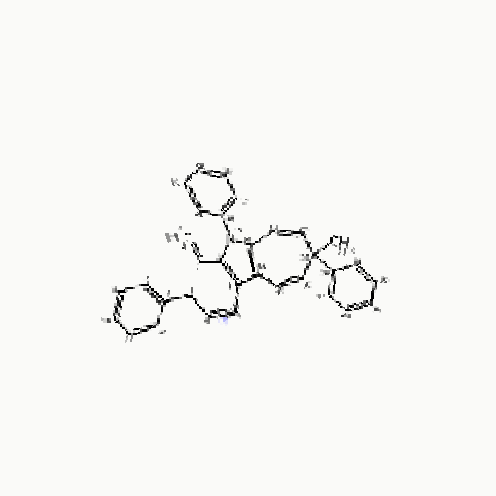 C=Cc1c(/C=C\Cc2ccccc2)c2c(n1-c1ccccc1)C=CC(C)(c1ccccc1)C=C2